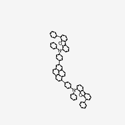 c1ccc(-c2cccc3c2oc2c(N(c4ccccc4)c4ccc(-c5cc6ccc7ccc(-c8ccc(N(c9ccccc9)c9cccc%10c9oc9c(-c%11ccccc%11)cccc9%10)cc8)c8ccc(c5)c6c78)cc4)cccc23)cc1